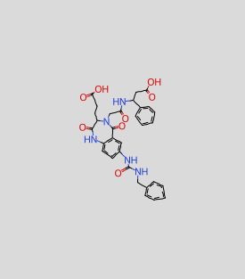 O=C(O)CCC1C(=O)Nc2ccc(NC(=O)NCc3ccccc3)cc2C(=O)N1CC(=O)NC(CC(=O)O)c1ccccc1